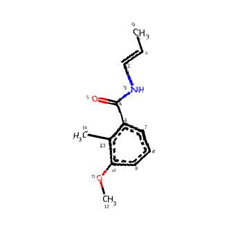 CC=CNC(=O)c1cccc(OC)c1C